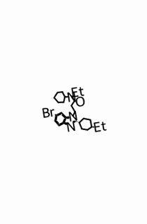 CCN(C(=O)CCn1c2cc(Br)ccc2nc1[C@H]1CC[C@H](CC)CC1)C1CCCCC1